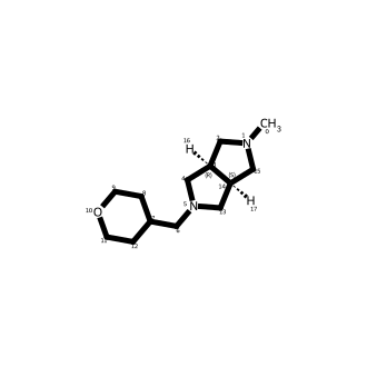 CN1C[C@@H]2CN(CC3CCOCC3)C[C@@H]2C1